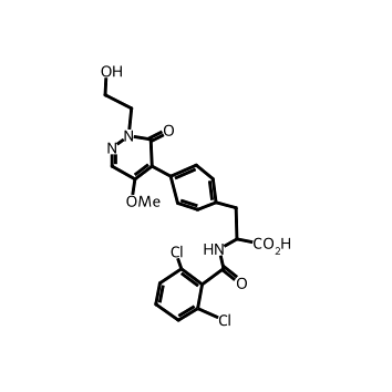 COc1cnn(CCO)c(=O)c1-c1ccc(CC(NC(=O)c2c(Cl)cccc2Cl)C(=O)O)cc1